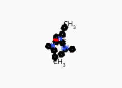 Cc1ccc(-c2ccc3c(c2)c2ccccc2n3-c2cccc(-c3cc(-c4nc(-c5ccccc5)cc(-c5ccccc5)n4)ccc3-n3c4ccccc4c4cc(-c5ccc(C)cc5)ccc43)c2)cc1